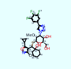 CO[C@@H]1[C@@H](n2cc(-c3cc(F)c(F)c(F)c3)nn2)[C@@H](O)[C@@H](CO)O[C@H]1SC(c1c(C)noc1C1CC1)C1(O)CCCCC1